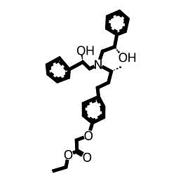 CCOC(=O)COc1ccc(CC[C@@H](C)N(C[C@@H](O)c2ccccc2)C[C@@H](O)c2ccccc2)cc1